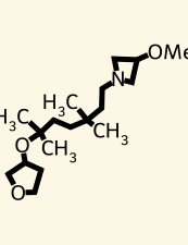 COC1CN(CCC(C)(C)CCC(C)(C)OC2CCOC2)C1